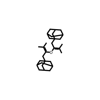 CC(C)=C(CC12CC3CC(CC(C3)C1)C2)OC(CC12CC3CC(CC(C3)C1)C2)=C(C)C